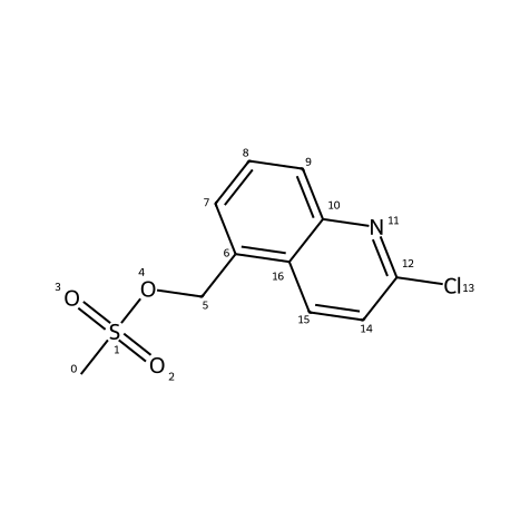 CS(=O)(=O)OCc1cccc2nc(Cl)ccc12